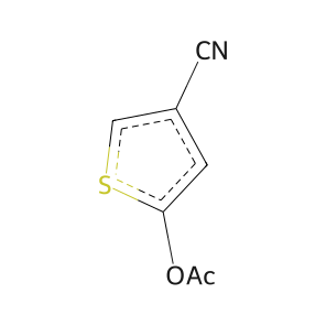 CC(=O)Oc1cc(C#N)cs1